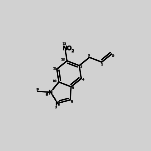 C=CCc1cc2cnn(C)c2cc1[N+](=O)[O-]